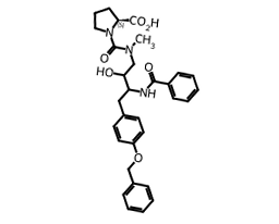 CN(CC(O)C(Cc1ccc(OCc2ccccc2)cc1)NC(=O)c1ccccc1)C(=O)N1CCC[C@H]1C(=O)O